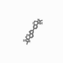 Cc1nc2c([nH]1)COc1c-2ccc2cc(-c3ccc4c(c3)OCc3nc(C)[nH]c3-4)ccc12